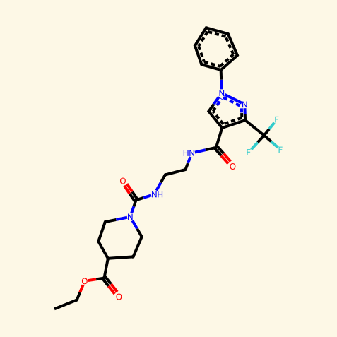 CCOC(=O)C1CCN(C(=O)NCCNC(=O)c2cn(-c3ccccc3)nc2C(F)(F)F)CC1